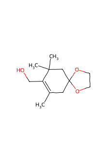 CC1=C(CO)C(C)(C)CC2(C1)OCCO2